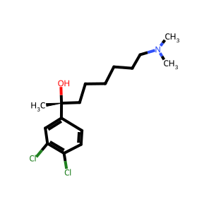 CN(C)CCCCCC[C@@](C)(O)c1ccc(Cl)c(Cl)c1